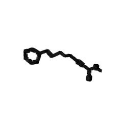 COC(=O)C#CCCC/C=C/c1ccccc1